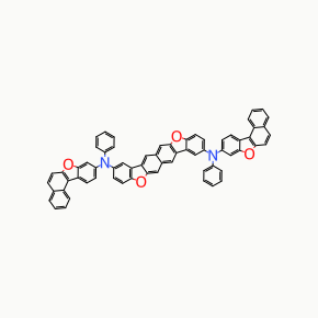 c1ccc(N(c2ccc3c(c2)oc2ccc4ccccc4c23)c2ccc3oc4cc5cc6c(cc5cc4c3c2)oc2ccc(N(c3ccccc3)c3ccc4c(c3)oc3ccc5ccccc5c34)cc26)cc1